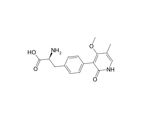 COc1c(C)c[nH]c(=O)c1-c1ccc(C[C@H](N)C(=O)O)cc1